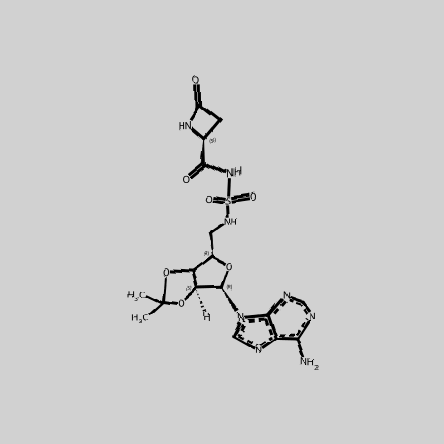 CC1(C)OC2[C@@H](CNS(=O)(=O)NC(=O)[C@@H]3CC(=O)N3)O[C@@H](n3cnc4c(N)ncnc43)[C@H]2O1